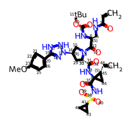 C=CC(=O)NC[C@H](NC(=O)OC(C)(C)C)C(=O)N1C[C@H](N2N=C(c3ccc(OC)cc3)NN2)C[C@H]1C(=O)N[C@]1(C(=O)NS(=O)(=O)C2CC2)C[C@H]1C=C